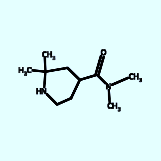 CN(C)C(=O)C1CCNC(C)(C)C1